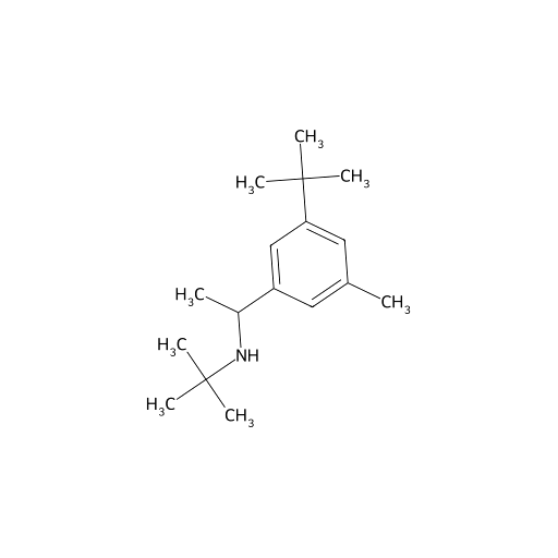 Cc1cc(C(C)NC(C)(C)C)cc(C(C)(C)C)c1